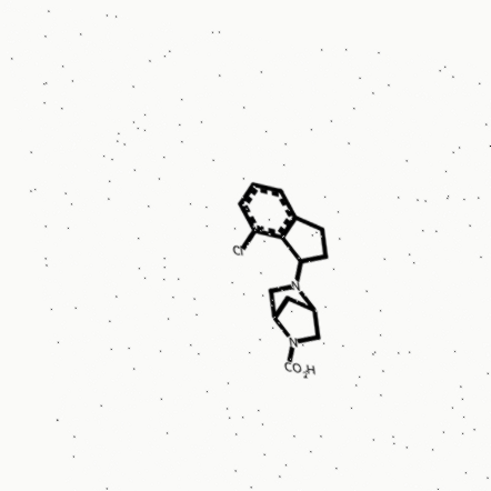 O=C(O)N1CC2CC1CN2C1CCc2cccc(Cl)c21